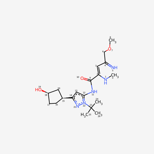 CN/C(=C\C(=N)COC)C(=O)Nc1cc([C@H]2CC[C@@H](O)C2)nn1C(C)(C)C